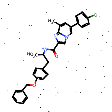 Cc1cc(-c2ccc(Cl)cc2)cn2cc(C(=O)NC(Cc3ccc(OCc4ccccc4)cc3)C(=O)O)nc12